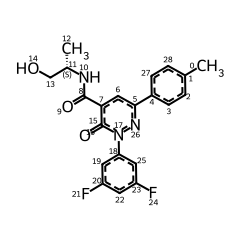 Cc1ccc(-c2cc(C(=O)N[C@@H](C)CO)c(=O)n(-c3cc(F)cc(F)c3)n2)cc1